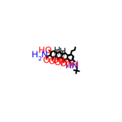 CCCc1cc(CNCC(C)(C)C)c(O)c2c1C[C@H]1C[C@H]3CC(O)=C(C(N)=O)C(=O)[C@@]3(O)C(O)=C1C2=O